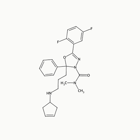 CN(C)C(=O)N1N=C(c2cc(F)ccc2F)OC1(CCCNC1CC=CC1)c1ccccc1